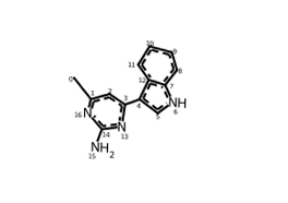 Cc1cc(-c2c[nH]c3ccccc23)nc(N)n1